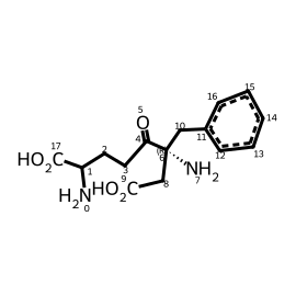 NC(CCC(=O)[C@](N)(CC(=O)O)Cc1ccccc1)C(=O)O